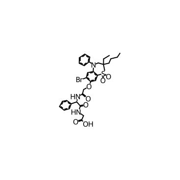 CCCCC1(CC)CN(c2ccccc2)c2cc(Br)c(OCC(=O)N[C@@H](C(=O)NCC(=O)O)c3ccccc3)cc2S(=O)(=O)C1